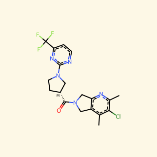 Cc1nc2c(c(C)c1Cl)CN(C(=O)[C@@H]1CCN(c3nccc(C(F)(F)F)n3)C1)C2